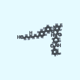 Cc1cccc(C(=O)NC2CCC(NC(=O)c3cc(F)cnc3Oc3cccc(-c4ccc(CCCNCCCO)cc4)c3)CC2)n1